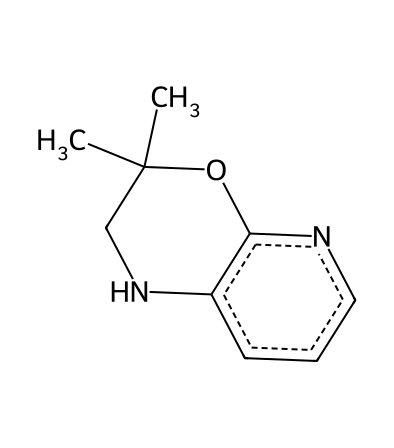 CC1(C)CNc2cccnc2O1